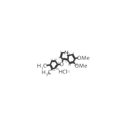 COc1cc2nccc(Oc3ccc(C)c(C)c3)c2cc1OC.Cl